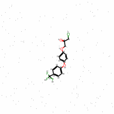 O=C(CCl)COc1ccc(Oc2ccc(C(F)(F)F)cc2)cc1